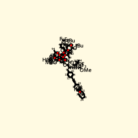 COC(=O)N[C@H](C(=O)N[C@@H](Cc1ccc(C#Cc2cnc(N3CC4CCC(C3)N4C3COC3)nc2)cc1)[C@H](CN(Cc1c(F)cc(-c2ccn(C(F)F)n2)cc1F)NC(=O)[C@@H](NC(=O)OC)C(C)(C)C(F)(F)F)OC(=O)CC(C)(C)c1c(CC(=O)NC(CC(=O)OC(C)(C)C)CC(=O)OC(C)(C)C)cc(C)cc1OP(=O)(O)O)C(C)(C)C(F)(F)F